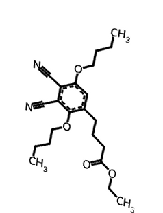 CCCCOc1cc(CCCC(=O)OCC)c(OCCCC)c(C#N)c1C#N